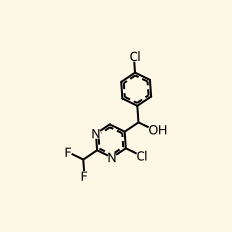 OC(c1ccc(Cl)cc1)c1cnc(C(F)F)nc1Cl